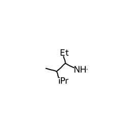 CCC([NH])C(C)C(C)C